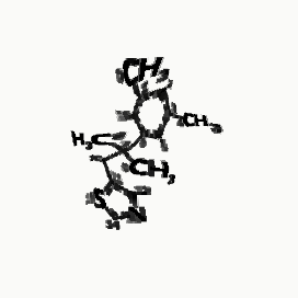 Cc1cc(C)cc(C(C)(C)Cc2cncs2)c1